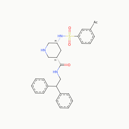 CC(=O)c1cccc(S(=O)(=O)N[C@H]2CNC[C@@H](C(=O)NCC(c3ccccc3)c3ccccc3)C2)c1